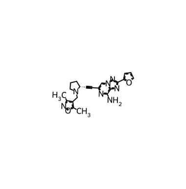 Cc1noc(C)c1CN1CCC[C@@H]1C#Cc1cn2nc(-c3ccco3)nc2c(N)n1